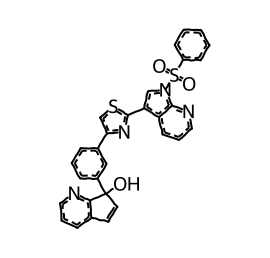 O=S(=O)(c1ccccc1)n1cc(-c2nc(-c3cccc(C4(O)C=Cc5cccnc54)c3)cs2)c2cccnc21